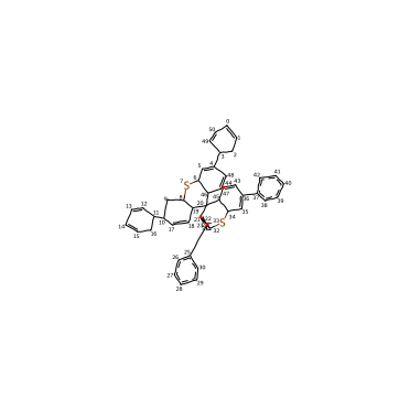 C1=CCC(C2=CC3SC4CC(C5C=CC=CC5)C=CC4C4(C5=CCC(c6ccccc6)CC5SC5C=C(c6ccccc6)C=CC54)C3C=C2)C=C1